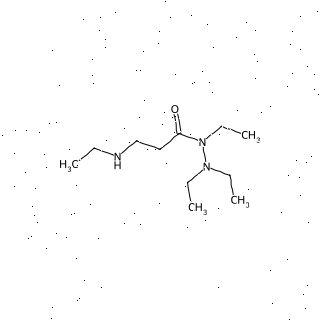 CCNCCC(=O)N(CC)N(CC)CC